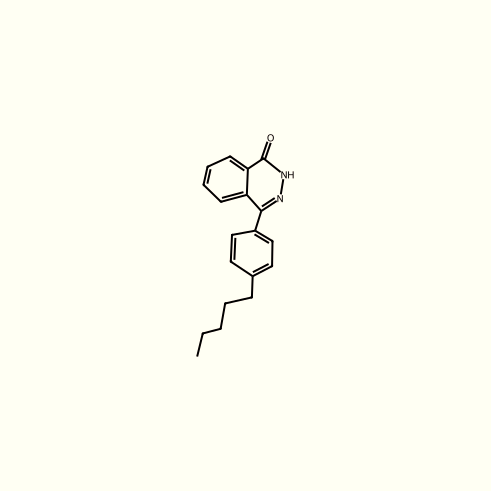 CCCCCc1ccc(-c2n[nH]c(=O)c3ccccc23)cc1